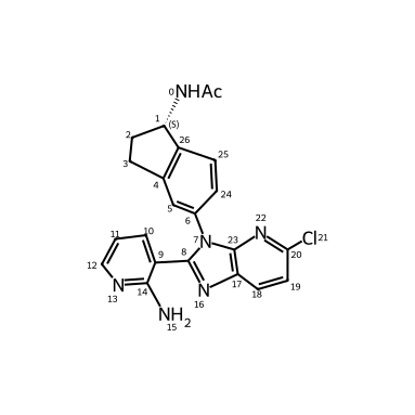 CC(=O)N[C@H]1CCc2cc(-n3c(-c4cccnc4N)nc4ccc(Cl)nc43)ccc21